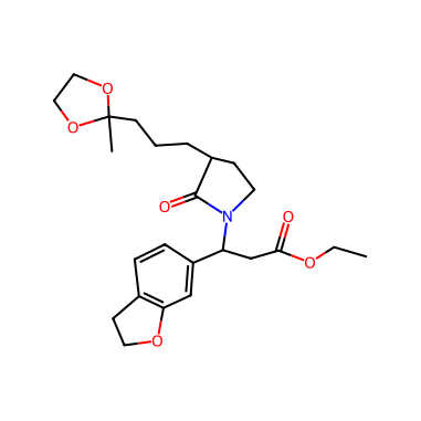 CCOC(=O)CC(c1ccc2c(c1)OCC2)N1CCC(CCCC2(C)OCCO2)C1=O